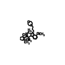 COc1cccc2c(C(=O)NC3C4(C)CCC(C4)C3(C)C)c(C)n(CCCN3CCOCC3)c12